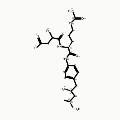 CCC(=O)CC(C(=O)N[C@@H](CCCNC(N)=O)C(=O)Nc1ccc(C[C@H](N)C[C@H](C)C(=O)O)cc1)C(C)C